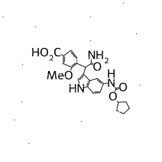 COc1cc(C(=O)O)ccc1C(C(N)=O)c1c[nH]c2ccc(NC(=O)OC3CCCC3)cc12